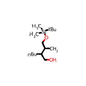 CCCCC(CO)C(C)CO[Si](C)(C)C(C)(C)C